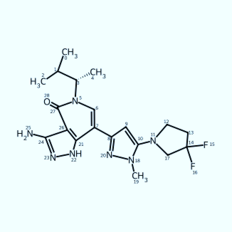 CC(C)[C@H](C)n1cc(-c2cc(N3CCC(F)(F)C3)n(C)n2)c2[nH]nc(N)c2c1=O